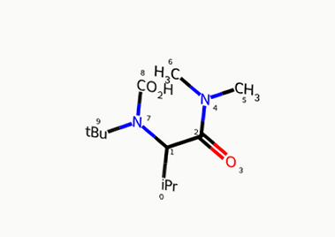 CC(C)C(C(=O)N(C)C)N(C(=O)O)C(C)(C)C